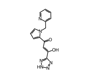 O=C(C=C(O)c1nn[nH]n1)c1cccn1Cc1ccccn1